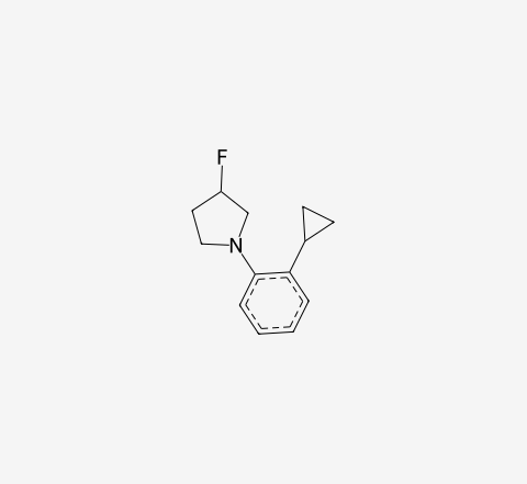 FC1CCN(c2ccccc2C2CC2)C1